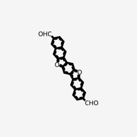 O=Cc1ccc2cc3c(cc2c1)oc1cc2c(cc13)oc1cc3cc(C=O)ccc3cc12